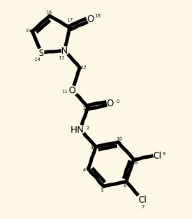 O=C(Nc1ccc(Cl)c(Cl)c1)OCn1sccc1=O